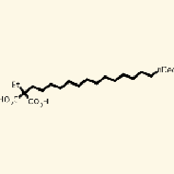 CCCCCCCCCCCCCCCCCCCCCCCCC(CC)(C(=O)O)C(=O)O